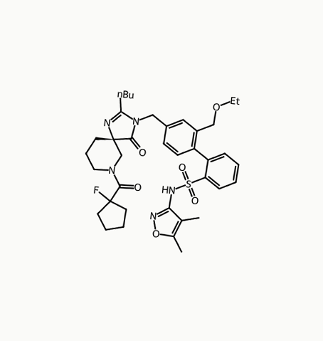 CCCCC1=N[C@]2(CCCN(C(=O)C3(F)CCCC3)C2)C(=O)N1Cc1ccc(-c2ccccc2S(=O)(=O)Nc2noc(C)c2C)c(COCC)c1